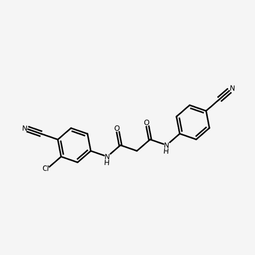 N#Cc1ccc(NC(=O)CC(=O)Nc2ccc(C#N)c(Cl)c2)cc1